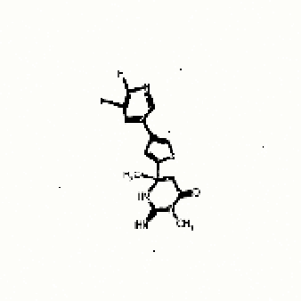 CN1C(=N)N[C@](C)(c2cc(-c3cnc(F)c(I)c3)cs2)CC1=O